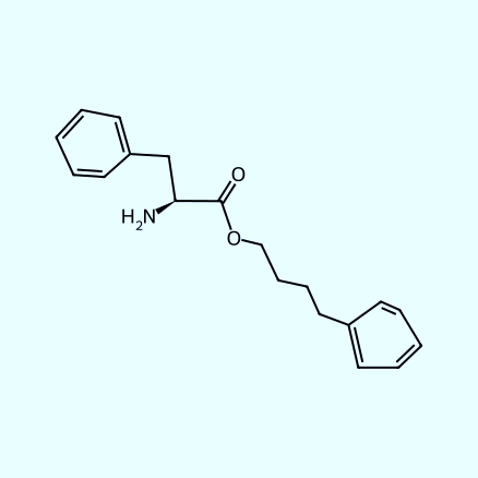 N[C@@H](Cc1ccccc1)C(=O)OCCCCc1ccccc1